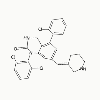 O=C1NCc2c(-c3ccccc3Cl)cc(/C=C3\CCCNC3)cc2N1c1c(Cl)cccc1Cl